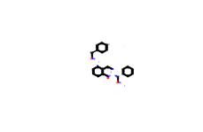 Cc1ccc([C@H](C)C(=O)Nc2cccc3c(=O)n([C@@H](C(N)=O)c4ccccc4)ccc23)cc1